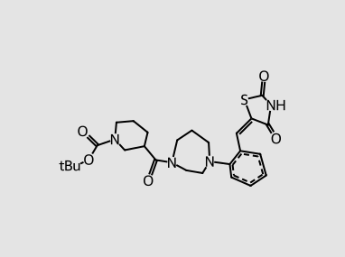 CC(C)(C)OC(=O)N1CCCC(C(=O)N2CCCN(c3ccccc3C=C3SC(=O)NC3=O)CC2)C1